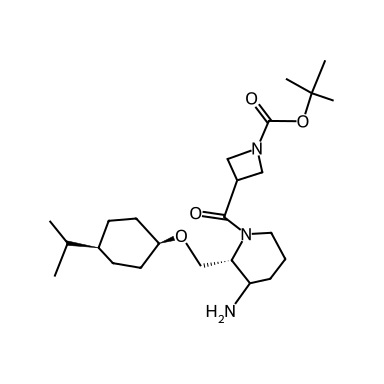 CC(C)[C@H]1CC[C@@H](OC[C@H]2C(N)CCCN2C(=O)C2CN(C(=O)OC(C)(C)C)C2)CC1